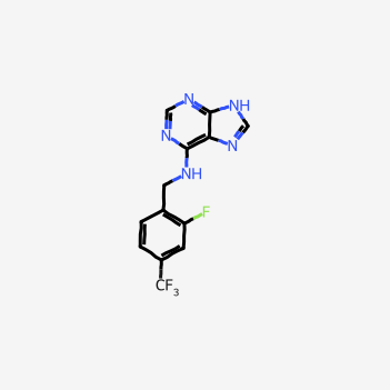 Fc1cc(C(F)(F)F)ccc1CNc1ncnc2[nH]cnc12